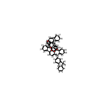 CC1(C)c2ccccc2-c2ccc(N(c3ccc4c(c3)C3(c5ccccc5-4)c4ccccc4N(c4ccccc4)c4ccccc43)c3ccccc3-c3ccc4sc5ccccc5c4c3)cc21